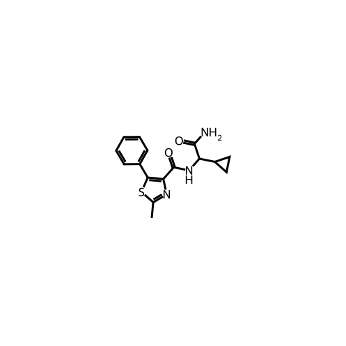 Cc1nc(C(=O)NC(C(N)=O)C2CC2)c(-c2ccccc2)s1